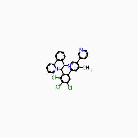 Cc1cc2[n+](cc1-c1cccnc1)C1c3ccccc3-c3cccc[n+]3C1c1c-2cc(Cl)c(Cl)c1Cl